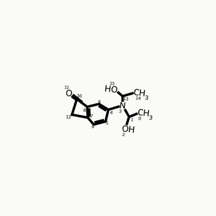 CC(O)N(c1ccc2c(c1)C(=O)C2)C(C)O